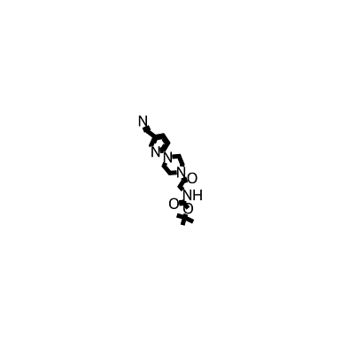 CC(C)(C)OC(=O)NCC(=O)N1CCN(c2ccc(C#N)cn2)CC1